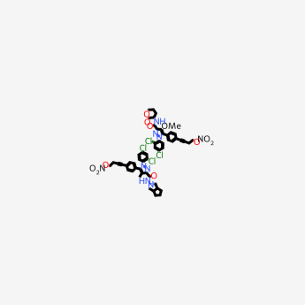 COc1c(C(=O)NC2CCCOC2=O)nn(-c2ccc(Cl)cc2Cl)c1-c1ccc(C#CCCO[N+](=O)[O-])cc1.Cc1c(C(=O)NN2CC3CCCC3C2)nn(-c2ccc(Cl)cc2Cl)c1-c1ccc(C#CCCO[N+](=O)[O-])cc1